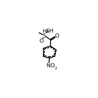 C[SH](=O)(S)C(=O)c1ccc([N+](=O)[O-])cc1